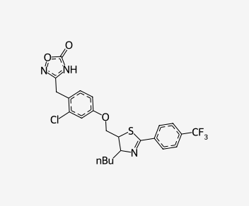 CCCCC1N=C(c2ccc(C(F)(F)F)cc2)SC1COc1ccc(Cc2noc(=O)[nH]2)c(Cl)c1